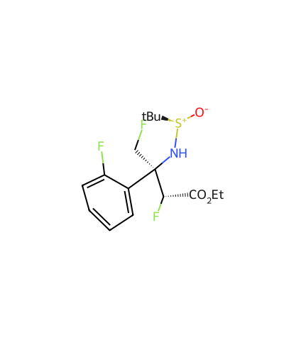 CCOC(=O)[C@H](F)[C@](CF)(N[S@+]([O-])C(C)(C)C)c1ccccc1F